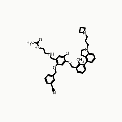 CC(=O)NCCNCc1cc(Cl)c(OCc2cccc(-c3cccc4c3CCN4CCCN3CCC3)c2C)cc1OCc1cccc(C#N)c1